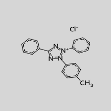 Cc1ccc(-n2nc(-c3ccccc3)n[n+]2-c2ccccc2)cc1.[Cl-]